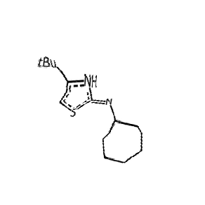 CC(C)(C)c1cs/c(=N\C2CCCCC2)[nH]1